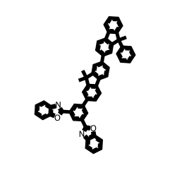 CC1(C)c2cc(-c3cc(-c4nc5ccccc5o4)cc(-c4nc5ccccc5o4)c3)ccc2-c2ccc(-c3ccc4c(c3)C(C)(c3ccccc3)c3ccccc3-4)cc21